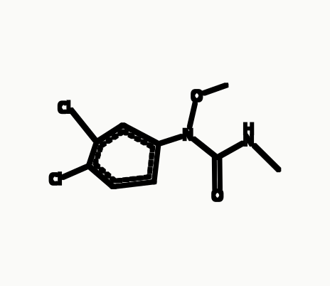 CNC(=O)N(OC)c1ccc(Cl)c(Cl)c1